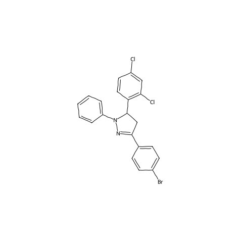 Clc1ccc(C2CC(c3ccc(Br)cc3)=NN2c2ccccc2)c(Cl)c1